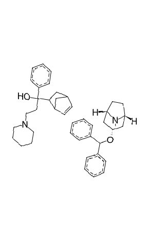 CN1[C@@H]2CC[C@H]1C[C@@H](OC(c1ccccc1)c1ccccc1)C2.OC(CCN1CCCCC1)(c1ccccc1)C1CC2C=CC1C2